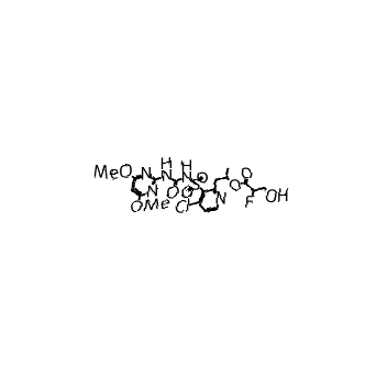 COc1cc(OC)nc(NC(=O)NS(=O)(=O)c2c(Cl)ccnc2CC(C)OC(=O)C(F)CO)n1